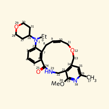 CCN(c1cccc2c1CC=CCOCc1cc(C)nc(OC)c1CNC2=O)C1CCOCC1